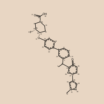 CC(c1cccc(-c2ncc(O[C@H]3CCN(C(=O)O)C[C@H]3F)cn2)c1)c1nn(-c2cnn(C)c2)ccc1=O